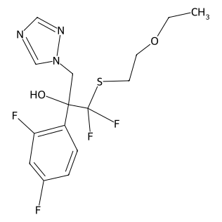 CCOCCSC(F)(F)C(O)(Cn1cncn1)c1ccc(F)cc1F